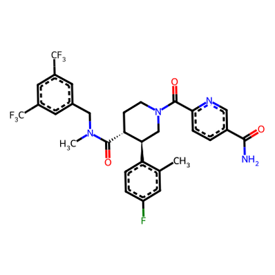 Cc1cc(F)ccc1[C@@H]1CN(C(=O)c2ccc(C(N)=O)cn2)CC[C@H]1C(=O)N(C)Cc1cc(C(F)(F)F)cc(C(F)(F)F)c1